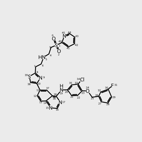 O=S(=O)(CCNCCc1nc(-c2ccc3ncnc(Nc4ccc(OCc5cccc(F)c5)c(Cl)c4)c3c2)cs1)c1ccccn1